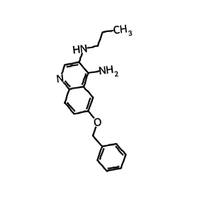 CCCNc1cnc2ccc(OCc3ccccc3)cc2c1N